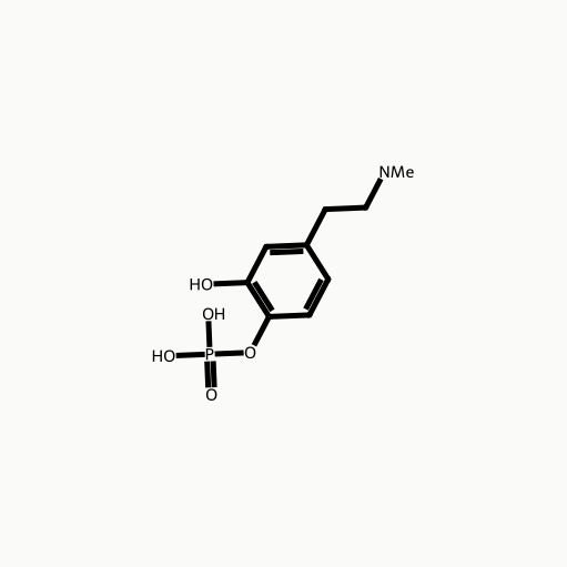 CNCCc1ccc(OP(=O)(O)O)c(O)c1